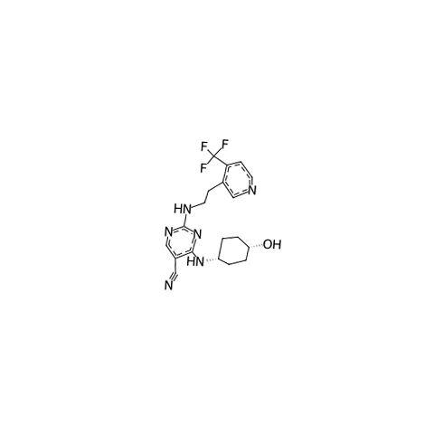 N#Cc1cnc(NCCc2cnccc2C(F)(F)F)nc1N[C@H]1CC[C@@H](O)CC1